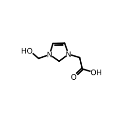 O=C(O)CN1C=CN(CO)C1